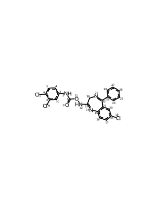 O=C(Nc1ccc(Cl)c(Cl)c1)ONC1=Nc2ccc(Cl)cc2C(c2ccccc2)=NC1